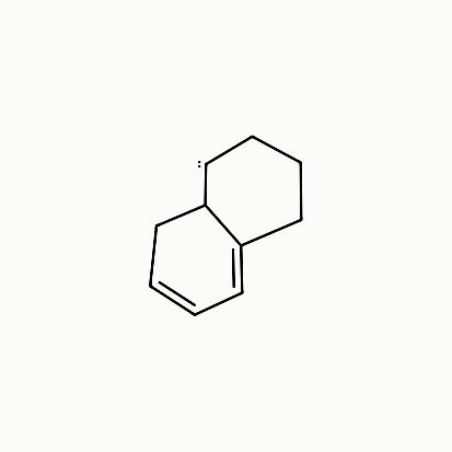 [C]1CCCC2=CC=CCC12